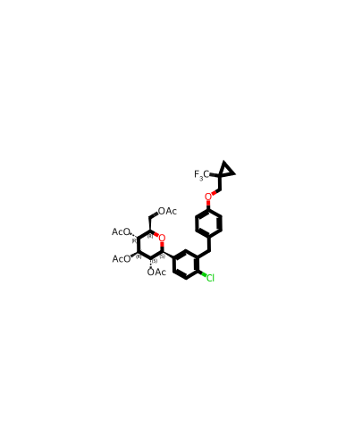 CC(=O)OC[C@H]1O[C@@H](c2ccc(Cl)c(Cc3ccc(OCC4(C(F)(F)F)CC4)cc3)c2)[C@H](OC(C)=O)[C@@H](OC(C)=O)[C@@H]1OC(C)=O